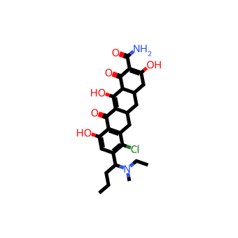 CCCC(c1cc(O)c2c(c1Cl)CC1CC3CC(O)=C(C(N)=O)C(=O)C3C(O)=C1C2=O)N(C)CC